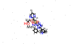 COc1cccc(OC)c1-n1c(NS(=O)(=O)[C@@H](C)[C@@H](OCC(C)O)c2ncc(C)cn2)nnc1-c1cncc(C)c1